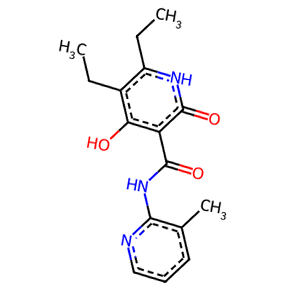 CCc1[nH]c(=O)c(C(=O)Nc2ncccc2C)c(O)c1CC